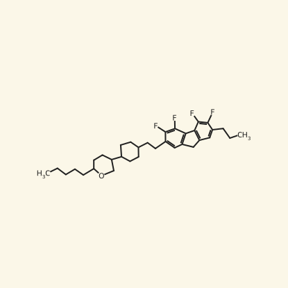 CCCCCC1CCC(C2CCC(CCc3cc4c(c(F)c3F)-c3c(cc(CCC)c(F)c3F)C4)CC2)CO1